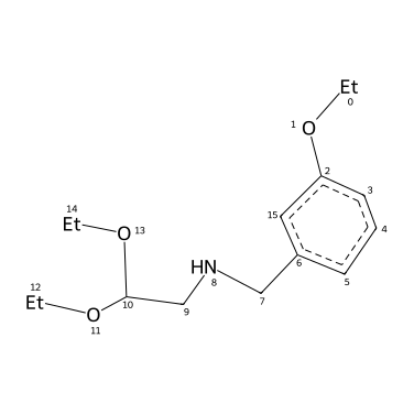 CCOc1cccc(CNCC(OCC)OCC)c1